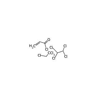 C=CC(=O)Cl.ClC(Cl)C(Cl)Cl.ClCC(Cl)(Cl)Cl